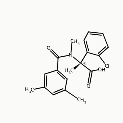 Cc1cc(C)cc(C(=O)N(C)[C@@](C)(C(=O)O)c2ccccc2Cl)c1